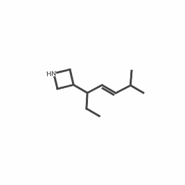 CCC(/C=C/C(C)C)C1CNC1